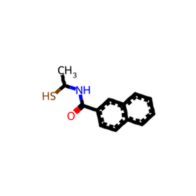 CC(S)NC(=O)c1ccc2ccccc2c1